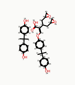 CC(C)(c1ccc(O)cc1)c1ccc(O)cc1.CC(C)(c1ccc(O)cc1)c1ccc(OC=C(C(=O)O)C(CC2CO2)CC2CO2)cc1